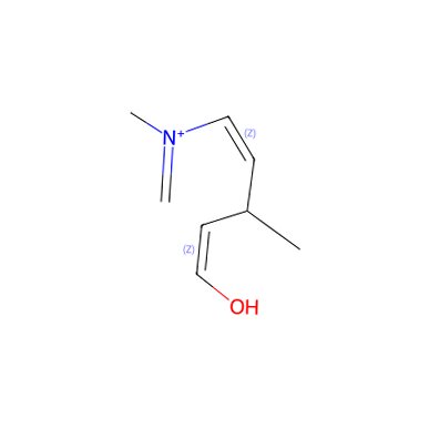 C=[N+](C)/C=C\C(C)/C=C\O